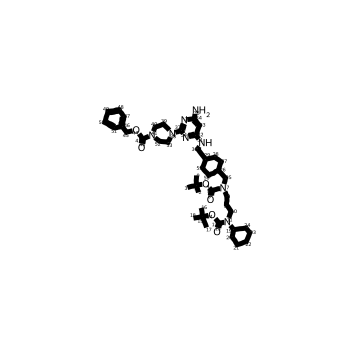 CC(C)(C)OC(=O)N(CCCN(C(=O)OC(C)(C)C)C1CCCCC1)CC1CCC(CNc2cc(N)nc(N3CCN(C(=O)OCc4ccccc4)CC3)n2)CC1